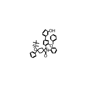 CC(C)(C)[Si](C)(C)OC1(c2ccccc2)CCC2(CC1)C(=O)N(c1ccccc1)[C@@H]2c1ccc(-c2cccc(O)c2)cc1OCc1ccccc1